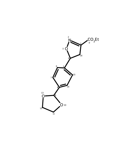 CCOC(=O)C1=NOC(c2ccc(C3OCCO3)cc2)C1